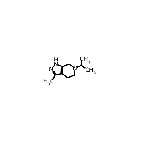 Cc1n[nH]c2c1CCN(C(C)C)C2